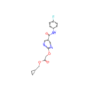 O=C(COc1ncc(C(=O)Nc2ccc(F)cc2)cn1)OCC1CC1